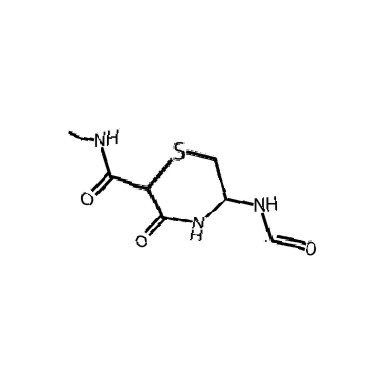 CNC(=O)C1SCC(N[C]=O)NC1=O